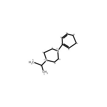 CC(C)N1CCN(C2=CC[CH]C=C2)CC1